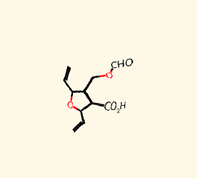 C=CC1OC(C=C)C(C(=O)O)C1COC=O